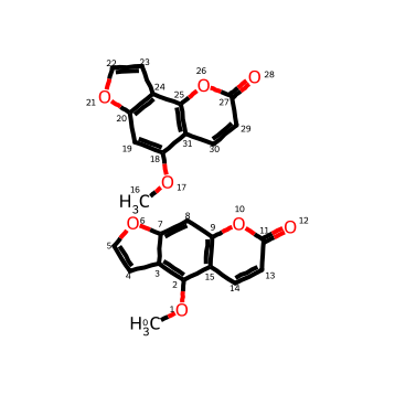 COc1c2ccoc2cc2oc(=O)ccc12.COc1cc2occc2c2oc(=O)ccc12